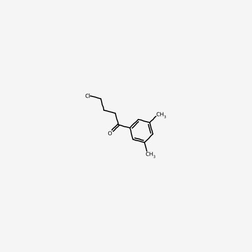 Cc1cc(C)cc(C(=O)CCCCl)c1